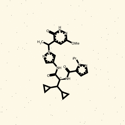 COc1cc(C(C)n2cc(NC(=O)[C@@H](NC(=O)c3ccnn3C(C)C)C(C3CC3)C3CC3)cn2)c(=O)[nH]n1